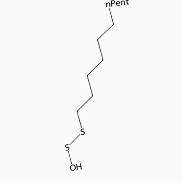 CCCCCCCCCCCSSO